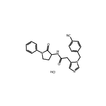 Cl.N#Cc1ccc(Cn2cncc2CC(=O)NC2CCN(c3ccccc3)C2=O)cc1